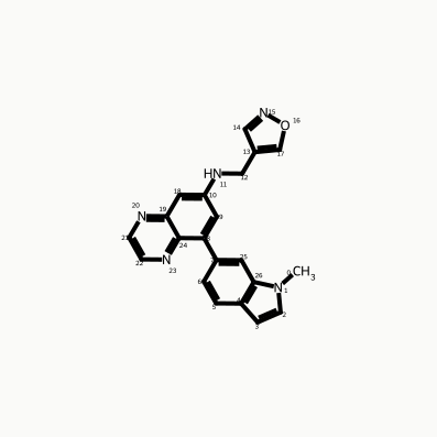 Cn1ccc2ccc(-c3cc(NCc4cnoc4)cc4nccnc34)cc21